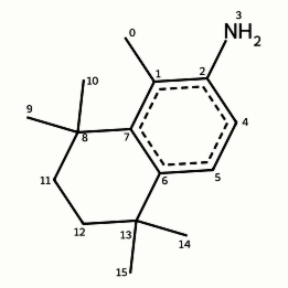 Cc1c(N)ccc2c1C(C)(C)CCC2(C)C